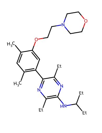 CCc1nc(-c2cc(OCCN3CCOCC3)c(C)cc2C)c(CC)nc1NC(CC)CC